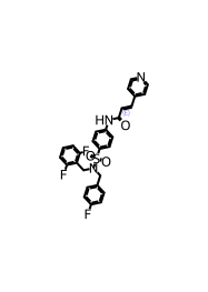 O=C(/C=C/c1ccncc1)Nc1ccc(S(=O)(=O)N(Cc2ccc(F)cc2)Cc2c(F)cccc2F)cc1